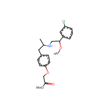 CCCOC(CNC(C)Cc1ccc(OCC(=O)OC)cc1)c1cccc(Cl)c1